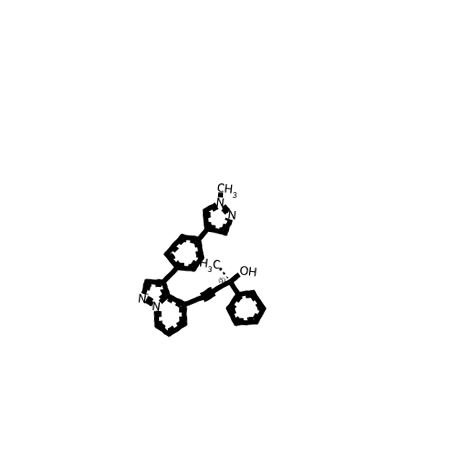 Cn1cc(-c2ccc(-c3cnn4cccc(C#C[C@@](C)(O)c5ccccc5)c34)cc2)cn1